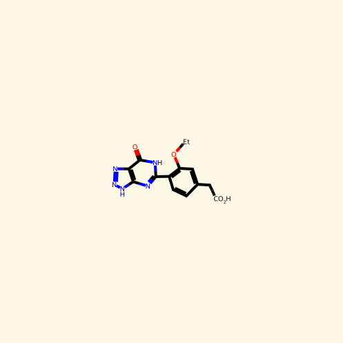 CCOc1cc(CC(=O)O)ccc1-c1nc2[nH]nnc2c(=O)[nH]1